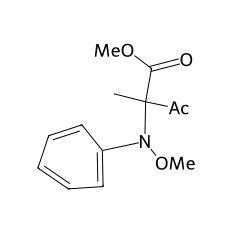 COC(=O)C(C)(C(C)=O)N(OC)c1ccccc1